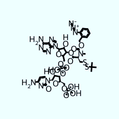 CN(C(=O)OCc1ccccc1N=[N+]=[N-])[C@@H](CSSC(C)(C)C)C(=O)OC1C(COP(=O)(O)O[C@H]2[C@@H](O)[C@H](n3ccc(N)nc3=O)O[C@@H]2COP(=O)(O)O)OC(n2cnc3c(N)ncnc32)C1O